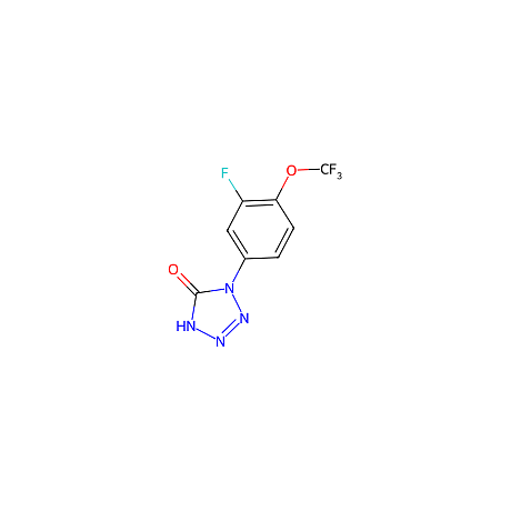 O=c1[nH]nnn1-c1ccc(OC(F)(F)F)c(F)c1